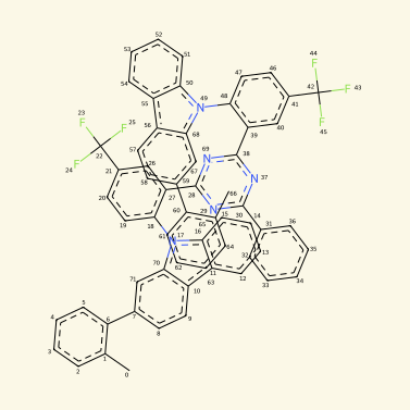 Cc1ccccc1-c1ccc2c3ccccc3n(-c3ccc(C(F)(F)F)cc3-c3nc(-c4ccccc4)nc(-c4cc(C(F)(F)F)ccc4-n4c5ccccc5c5ccc(-c6ccccc6C)cc54)n3)c2c1